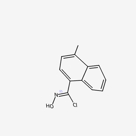 Cc1ccc(/C(Cl)=N/O)c2ccccc12